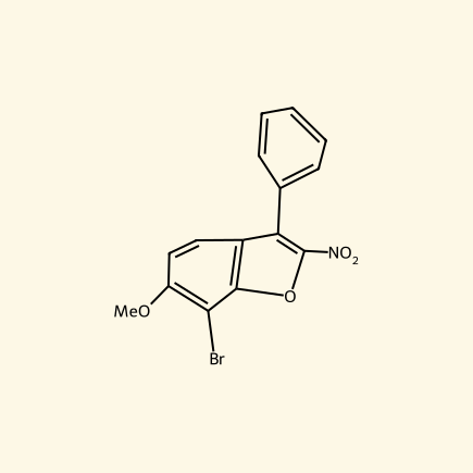 COc1ccc2c(-c3ccccc3)c([N+](=O)[O-])oc2c1Br